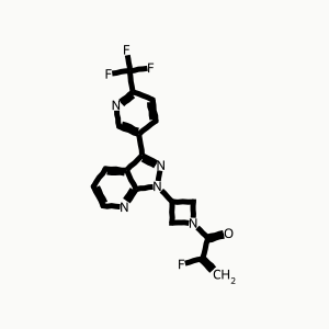 C=C(F)C(=O)N1CC(n2nc(-c3ccc(C(F)(F)F)nc3)c3cccnc32)C1